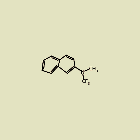 CN(c1ccc2ccccc2c1)C(F)(F)F